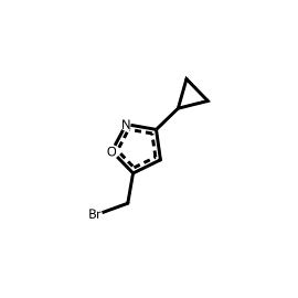 BrCc1cc(C2CC2)no1